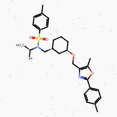 Cc1ccc(-c2nc(CO[C@@H]3CCC[C@H](CN([C@H](C(=O)O)C(C)C)S(=O)(=O)c4ccc(C)cc4)C3)c(C)o2)cc1